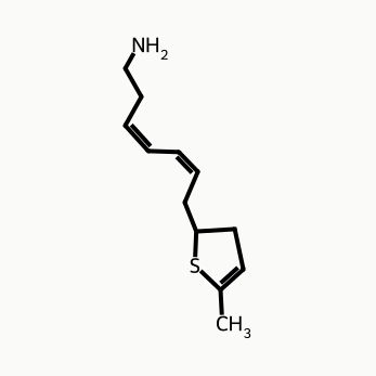 CC1=CCC(C/C=C\C=C/CCN)S1